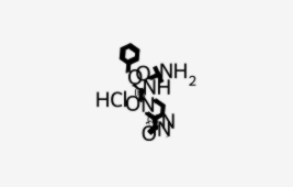 CN1N=C2CCN(C(=O)[C@@H](COCc3ccccc3)NC(=O)C(C)(C)N)C[C@]2(C)C1=O.Cl